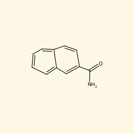 NC(=O)c1ccc2c[c]ccc2c1